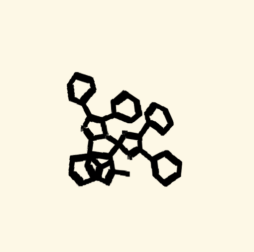 Cc1ccccc1-c1nc(-c2ccccc2)c(-c2ccccc2)n1C1(c2ccccc2C)N=C(c2ccccc2)C(c2ccccc2)=N1